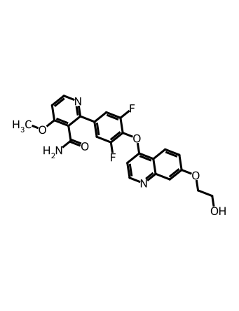 COc1ccnc(-c2cc(F)c(Oc3ccnc4cc(OCCO)ccc34)c(F)c2)c1C(N)=O